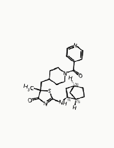 CC1(CC2CCN(C(=O)c3ccncc3)CC2)SC(N[C@H]2C[C@H]3CC[C@H]2C3)=NC1=O